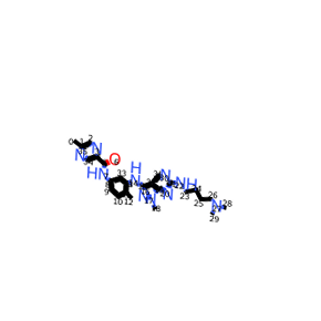 Cc1cnc(C(=O)Nc2ccc(C)c(Nc3nn(C)c4nc(NCCCCN(C)C)ncc34)c2)cn1